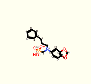 O=P(O)(O)CN(CCCc1ccccc1)c1ccc2c(c1)OCO2